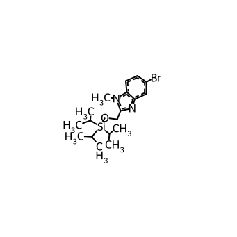 CC(C)[Si](OCc1nc2cc(Br)ccc2n1C)(C(C)C)C(C)C